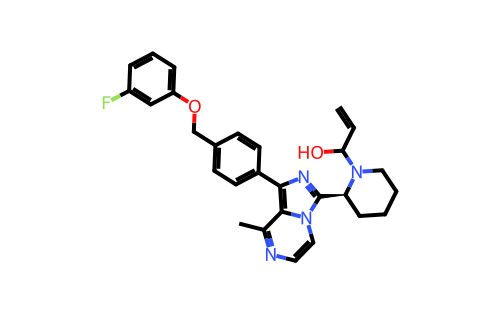 C=CC(O)N1CCCC[C@H]1c1nc(-c2ccc(COc3cccc(F)c3)cc2)c2c(C)nccn12